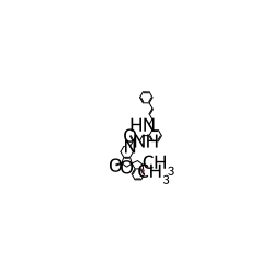 CC(C)CC1(c2ccccc2)OC(=O)C2=C1CN(C(=O)NCc1ccccc1NC/C=C/c1ccccc1)CC2